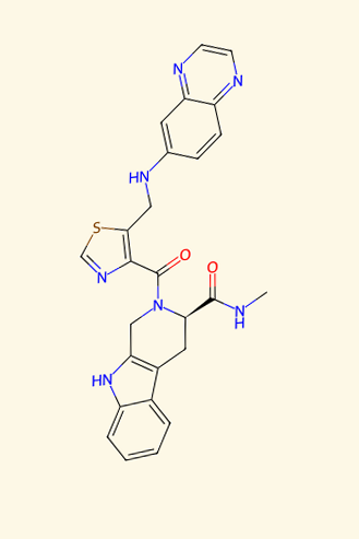 CNC(=O)[C@H]1Cc2c([nH]c3ccccc23)CN1C(=O)c1ncsc1CNc1ccc2nccnc2c1